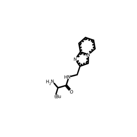 CC(C)(C)C(N)C(=O)NCc1cn2ccccc2n1